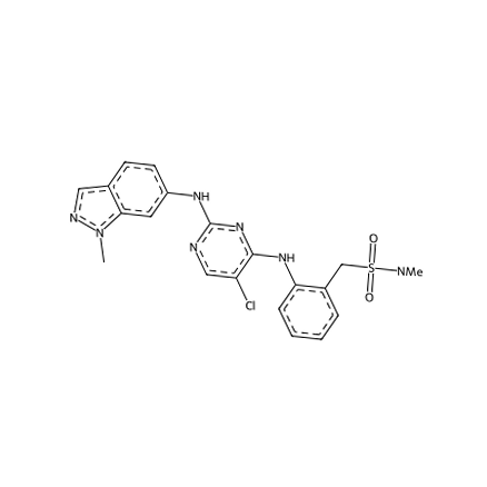 CNS(=O)(=O)Cc1ccccc1Nc1nc(Nc2ccc3cnn(C)c3c2)ncc1Cl